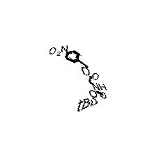 CC(C)(C)OC(=O)NCC(=O)OCc1ccc([N+](=O)[O-])cc1